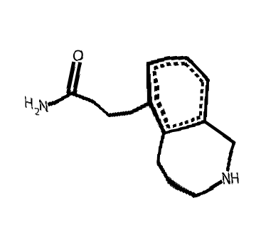 NC(=O)Cc1cccc2c1CCNC2